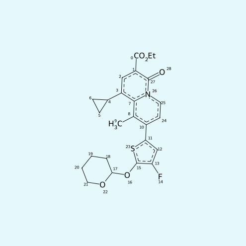 CCOC(=O)c1cc(C2CC2)c2c(C)c(-c3cc(F)c(OC4CCCCO4)s3)ccn2c1=O